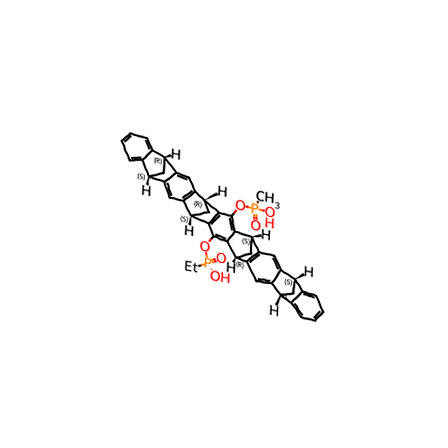 CCP(=O)(O)Oc1c2c(c(OP(C)(=O)O)c3c1[C@H]1C[C@@H]3c3cc4c(cc31)[C@H]1C[C@@H]4c3ccccc31)[C@H]1C[C@@H]2c2cc3c(cc21)[C@H]1C[C@@H]3c2ccccc21